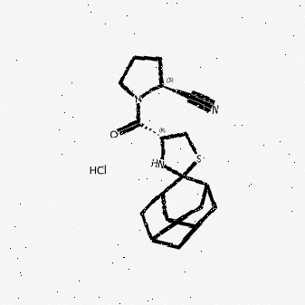 Cl.N#C[C@@H]1CCCN1C(=O)[C@@H]1CSC2(N1)C1CC3CC(C1)CC2C3